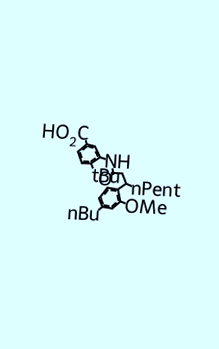 CCCCCC(CC(=O)Nc1cc(C(=O)O)ccc1C(C)(C)C)c1ccc(CCCC)cc1OC